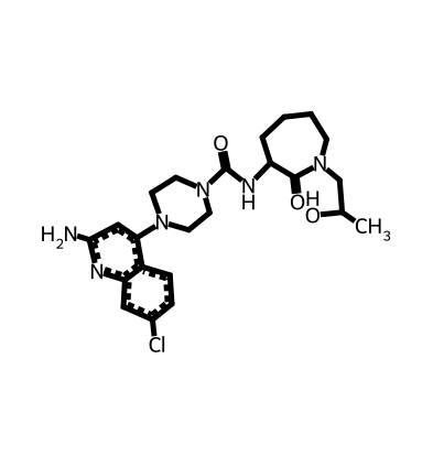 CC(O)CN1CCCCC(NC(=O)N2CCN(c3cc(N)nc4cc(Cl)ccc34)CC2)C1=O